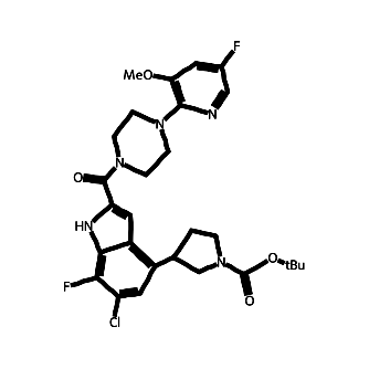 COc1cc(F)cnc1N1CCN(C(=O)c2cc3c(C4CCN(C(=O)OC(C)(C)C)C4)cc(Cl)c(F)c3[nH]2)CC1